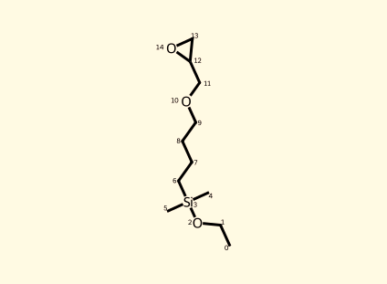 CCO[Si](C)(C)CCCCOCC1CO1